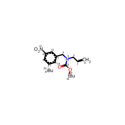 C=CCN(Cc1cc([C@@H](C)CC)cc([N+](=O)[O-])c1)C(=O)OC(C)(C)C